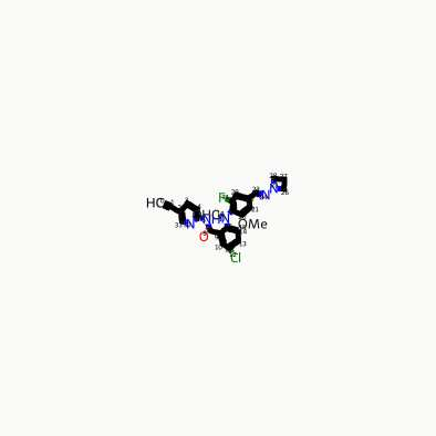 C#Cc1ccc(NC(=O)c2cc(Cl)cc(OC)c2N(C=O)c2ccc(C=NN3CCC3)cc2F)nc1